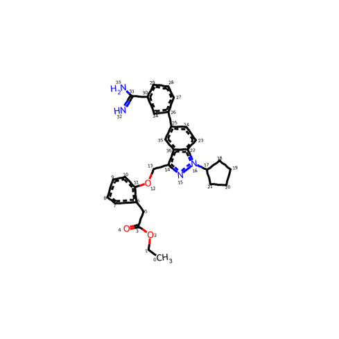 CCOC(=O)Cc1ccccc1OCc1nn(C2CCCC2)c2ccc(-c3cccc(C(=N)N)c3)cc12